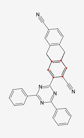 N#Cc1ccc2c(c1)C1c3ccc(C#N)cc3C2c2cc(-c3nc(-c4ccccc4)nc(-c4ccccc4)n3)ccc21